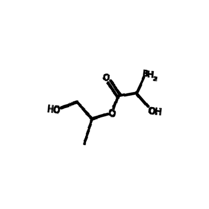 BC(O)C(=O)OC(C)CO